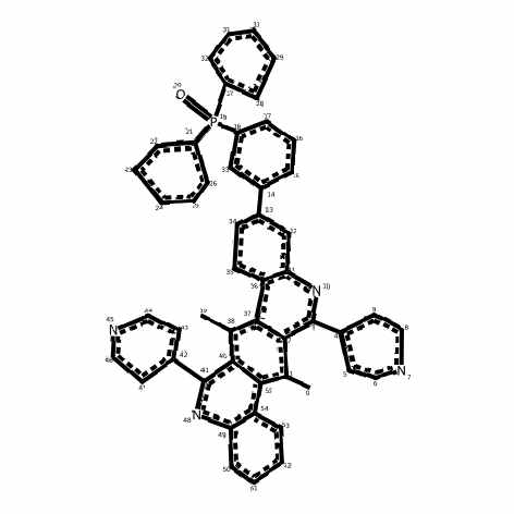 Cc1c2c(-c3ccncc3)nc3cc(-c4cccc(P(=O)(c5ccccc5)c5ccccc5)c4)ccc3c2c(C)c2c(-c3ccncc3)nc3ccccc3c12